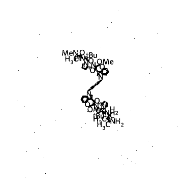 C=C(N[C@H](C(=O)N1CCC[C@H]1c1nc(C(=O)OC)c(-c2cn(CC#CC#CCn3cc(-c4oc([C@@H]5CCCN5C(=O)[C@@H](NC(=O)[C@H](C)NC)C(C)(C)C)nc4C(=O)OC)c4ccccc43)c3ccccc23)o1)C(C)(C)C)[C@H](C)C(C)N